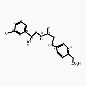 CC(CNc1ccc(CC(=O)O)nc1)NCC(O)c1cccc(Cl)c1